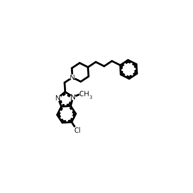 Cn1c(CN2CCC(CCCc3ccccc3)CC2)nc2ccc(Cl)cc21